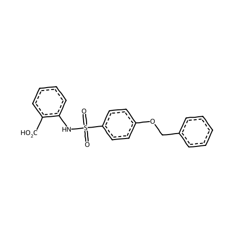 O=C(O)c1ccccc1NS(=O)(=O)c1ccc(OCc2ccccc2)cc1